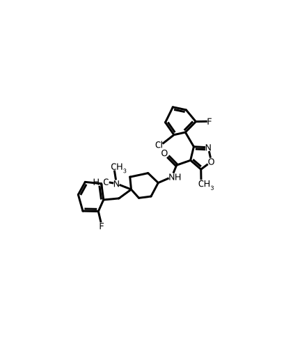 Cc1onc(-c2c(F)cccc2Cl)c1C(=O)NC1CCC(Cc2ccccc2F)(N(C)C)CC1